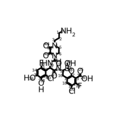 NCCCN1CCN(C(=O)NC(C(=O)N[C@H]2Cc3cc(Cl)c(F)c(C(=O)O)c3OB2O)c2c(F)cc(O)c(O)c2Cl)C(=O)C1=O